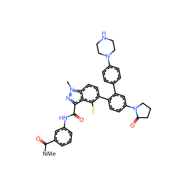 CNC(=O)c1cccc(NC(=O)c2nn(C)c3ccc(-c4ccc(N5CCCC5=O)cc4-c4ccc(N5CCNCC5)cc4)c(F)c23)c1